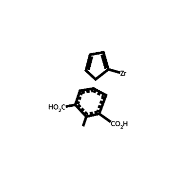 Cc1c(C(=O)O)cccc1C(=O)O.[Zr][C]1=CC=CC1